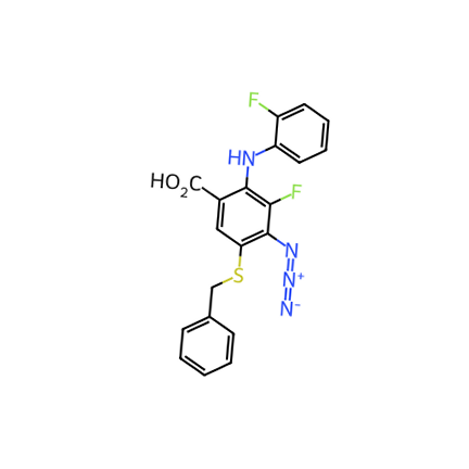 [N-]=[N+]=Nc1c(SCc2ccccc2)cc(C(=O)O)c(Nc2ccccc2F)c1F